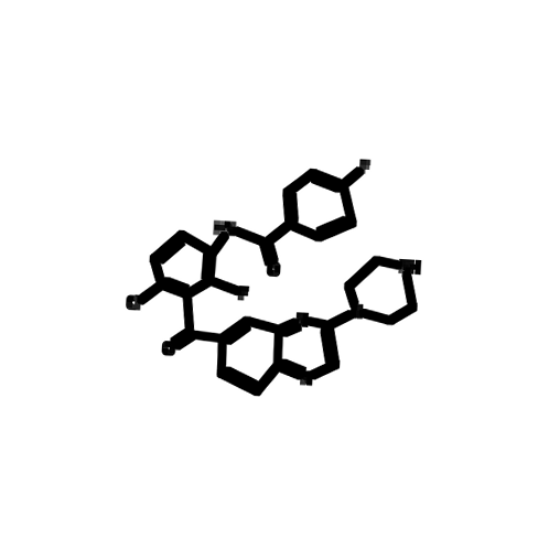 O=C(Nc1ccc(Cl)c(C(=O)c2ccc3ncc(N4CCNCC4)nc3c2)c1F)c1ccc(F)cc1